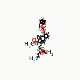 CCCCC[C@H](CC[C@@H]1[C@H]2Cc3cccc(OCC(=O)O[C@@H]4CC5CCC4CC5)c3C[C@H]2C[C@H]1OC(C)=O)OC(C)=O